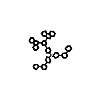 c1ccc(-c2cccc(-c3ccc(N(c4ccc(-c5cccc(-c6ccccc6)c5)cc4)c4ccc(-c5cc(-c6cc7ccccc7c7ccccc67)cc(-c6cc7ccccc7c7ccccc67)c5)cc4)cc3)c2)cc1